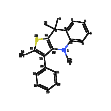 CCN1c2ccccc2C(C)(C)c2sc(C(C)C)c(-c3ccccc3)c21